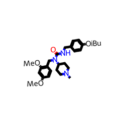 COc1ccc(CN(C(=O)NCc2ccc(OCC(C)C)cc2)C2CCN(C)CC2)c(OC)c1